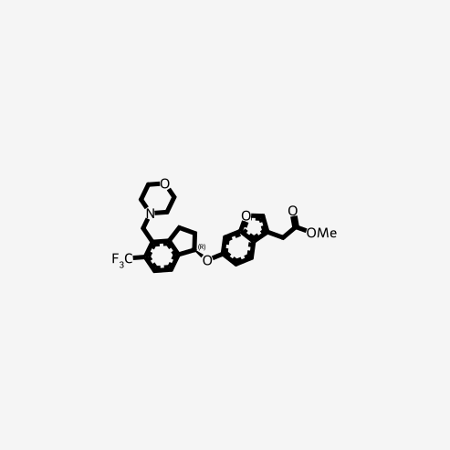 COC(=O)Cc1coc2cc(O[C@@H]3CCc4c3ccc(C(F)(F)F)c4CN3CCOCC3)ccc12